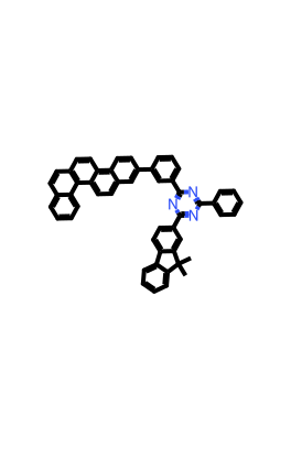 CC1(C)c2ccccc2-c2ccc(-c3nc(-c4ccccc4)nc(-c4cccc(-c5ccc6c(ccc7c6ccc6ccc8ccccc8c67)c5)c4)n3)cc21